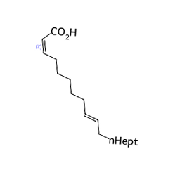 CCCCCCCCC=CCCCCC/C=C\C(=O)O